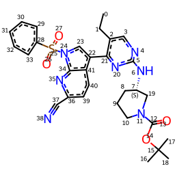 CCc1cnc(N[C@H]2CCCN(C(=O)OC(C)(C)C)C2)nc1-c1cn(S(=O)(=O)c2ccccc2)c2nc(C#N)ccc12